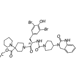 COC(=O)C1(N2CCCCC2)CCN(C(=O)[C@@H](Cc2cc(Br)c(O)c(Br)c2)NC(=O)N2CCC(N3Cc4ccccc4NC3=O)CC2)CC1